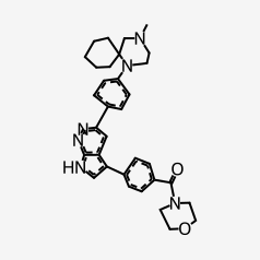 CN1CCN(c2ccc(-c3cc4c(-c5ccc(C(=O)N6CCOCC6)cc5)c[nH]c4nn3)cc2)C2(CCCCC2)C1